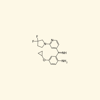 N=C(c1ccnc(N2CCC(F)(F)C2)c1)c1cc(OC2CC2)ccc1N